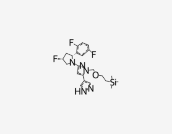 C[Si](C)(C)CCOCn1nc(N2C[C@@H](F)C[C@@H]2c2cc(F)ccc2F)cc1-c1cn[nH]c1